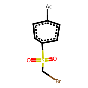 CC(=O)c1ccc(S(=O)(=O)CBr)cc1